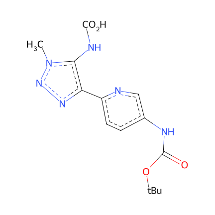 Cn1nnc(-c2ccc(NC(=O)OC(C)(C)C)cn2)c1NC(=O)O